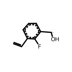 C=Cc1cccc([CH]O)c1F